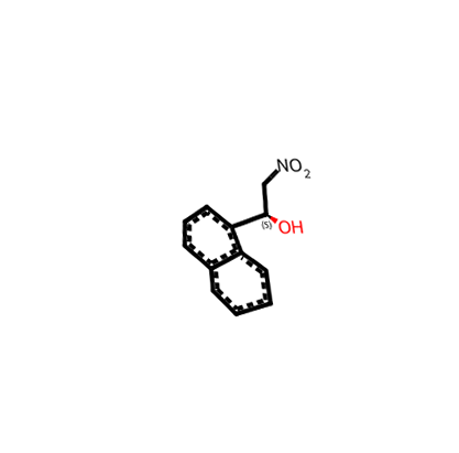 O=[N+]([O-])C[C@@H](O)c1cccc2ccccc12